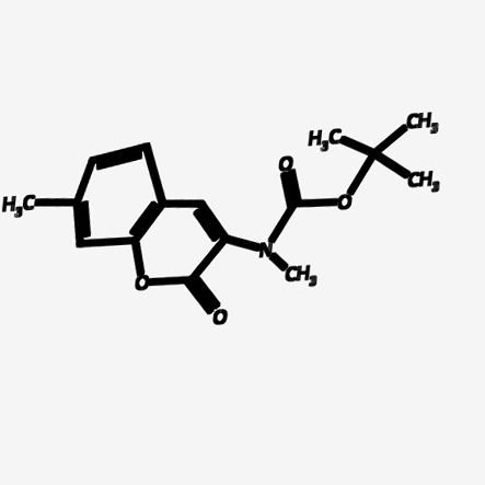 Cc1ccc2cc(N(C)C(=O)OC(C)(C)C)c(=O)oc2c1